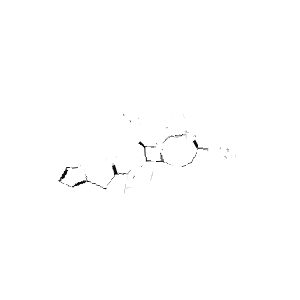 COC1=N[C@@H](C(=O)[O-])N2C(=O)[C@H](NC(=O)Cc3cccs3)[C@@H]2SC1.[Na+]